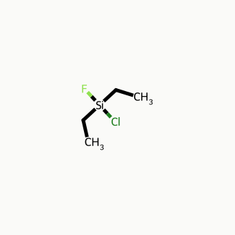 CC[Si](F)(Cl)CC